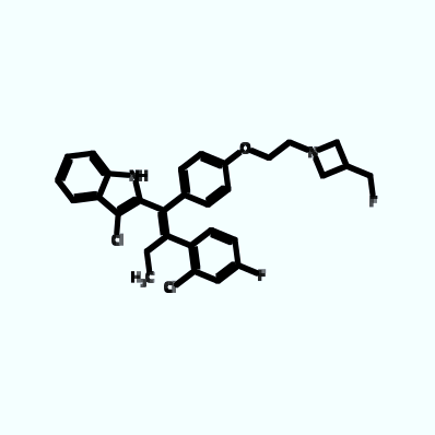 CC/C(=C(/c1ccc(OCCN2CC(CF)C2)cc1)c1[nH]c2ccccc2c1Cl)c1ccc(F)cc1Cl